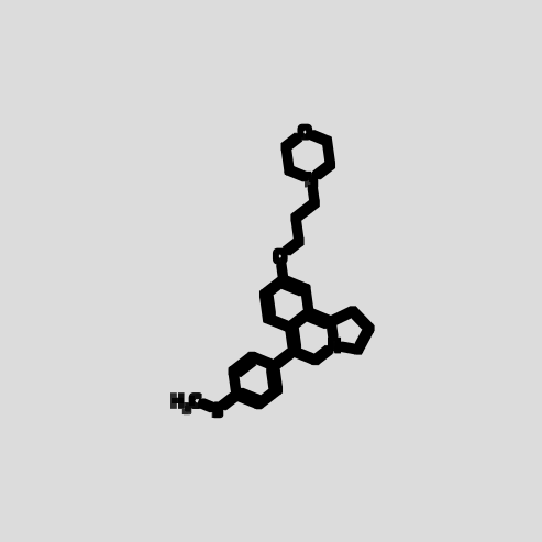 CSc1ccc(C2=c3ccc(OCCCN4CCOCC4)cc3=C3CCCN3C2)cc1